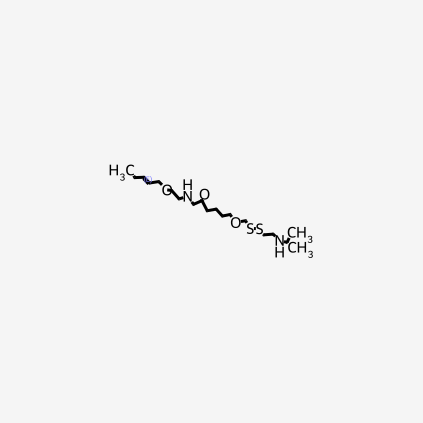 CC/C=C/COCCNCC(=O)CCCCOCSSCCNC(C)C